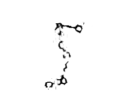 COc1cccc(C#Cc2ccc3cnc(NNc4ccc(N5CCN(CCCCCOc6cccc7c6C(=O)N(C6CCC(=O)NC6=O)C7=O)CC5)nc4)nn23)c1